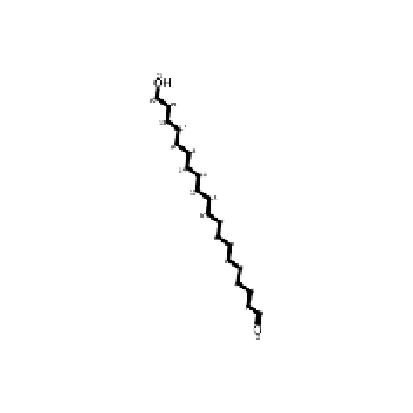 O=[C]CCCCCCCCCCCCCCCCCCCO